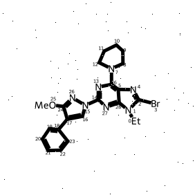 CCn1c(Br)nc2c(N3CCCCC3)nc(-n3cc(-c4ccccc4)c(OC)n3)nc21